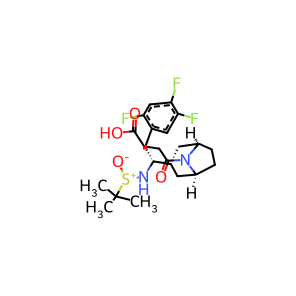 CC(C)(C)[S+]([O-])N[C@H](Cc1cc(F)c(F)cc1F)[C@@H]1C[C@H]2CC[C@@H](C1)N2C(=O)CCC(=O)O